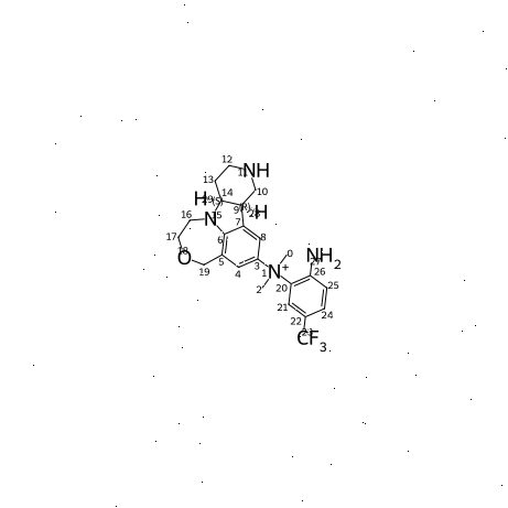 C[N+](C)(c1cc2c3c(c1)[C@@H]1CNCC[C@@H]1N3CCOC2)c1cc(C(F)(F)F)ccc1N